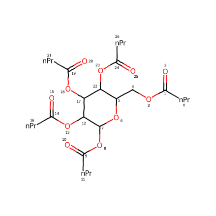 CCCC(=O)OCC1OC(OC(=O)CCC)C(OC(=O)CCC)C(OC(=O)CCC)C1OC(=O)CCC